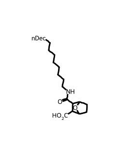 CCCCCCCCCCCCCCCCCCNC(=O)C1C2CCC(O2)C1C(=O)O